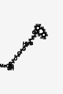 COP(=O)(O)OCCOCCOCCOCCNC(=O)CCCCC(=O)N1Cc2ccccc2C#Cc2ccccc21